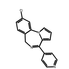 Clc1ccc2c(c1)-n1cccc1C(c1ccncc1)=NC2